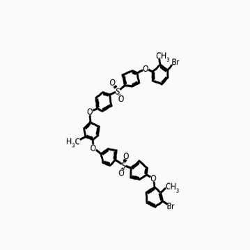 Cc1cc(Oc2ccc(S(=O)(=O)c3ccc(Oc4cccc(Br)c4C)cc3)cc2)ccc1Oc1ccc(S(=O)(=O)c2ccc(Oc3cccc(Br)c3C)cc2)cc1